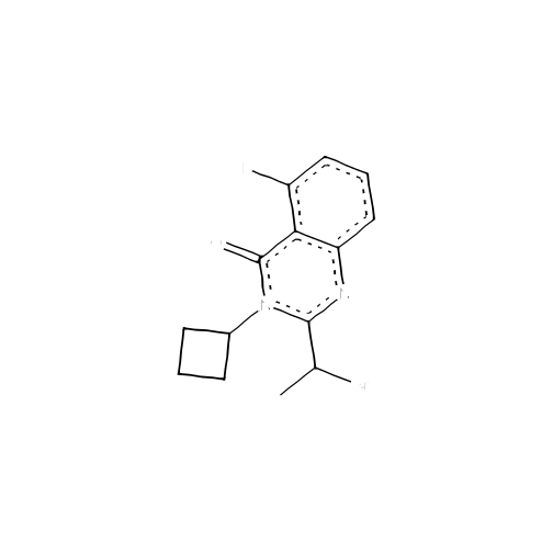 CC(Br)c1nc2cccc(F)c2c(=O)n1C1CCC1